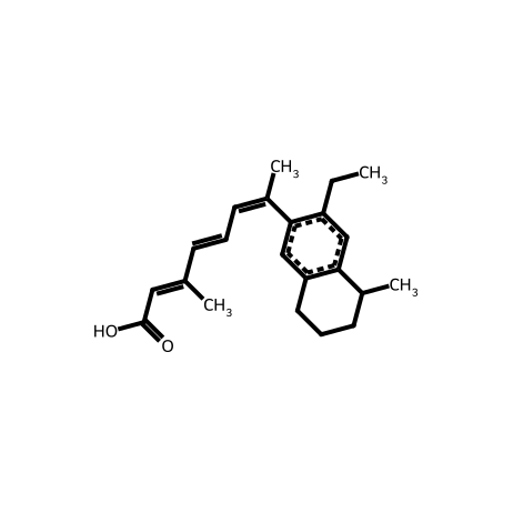 CCc1cc2c(cc1\C(C)=C/C=C/C(C)=C/C(=O)O)CCCC2C